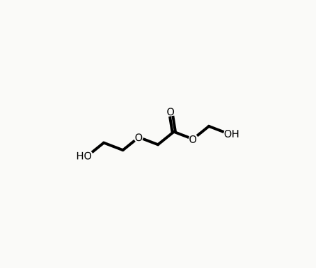 O=C(COCCO)OCO